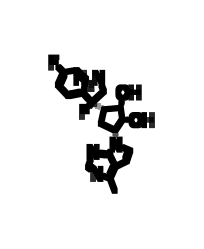 Cc1ncnc2c1ccn2[C@@H]1C[C@H](C(F)(CN)c2ccc(F)cc2)[C@@H](O)[C@H]1O